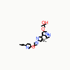 CC#Cc1ccc(OC2CN(c3ccc(-c4cc(OCC(C)(C)O)cn5ncc(C#N)c45)cn3)C2)cn1